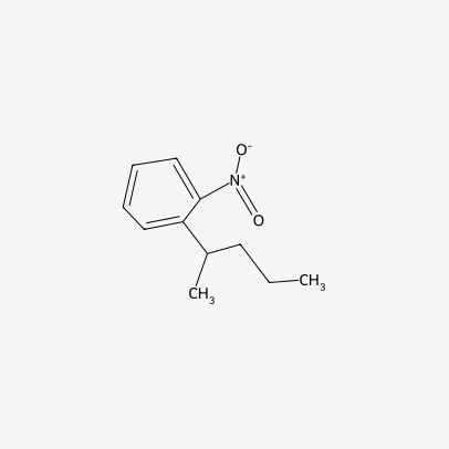 CCCC(C)c1ccccc1[N+](=O)[O-]